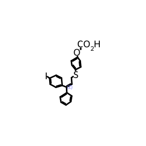 O=C(O)COc1ccc(SC/C=C(/c2ccccc2)c2ccc(I)cc2)cc1